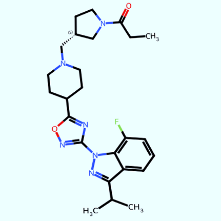 CCC(=O)N1CC[C@@H](CN2CCC(c3nc(-n4nc(C(C)C)c5cccc(F)c54)no3)CC2)C1